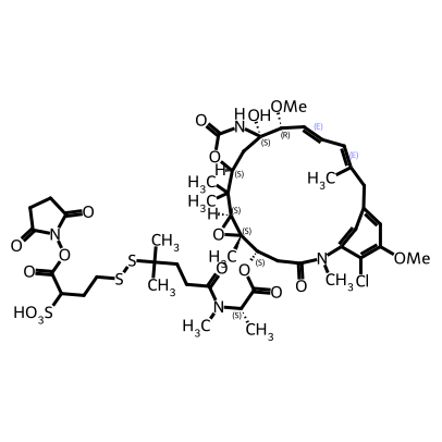 COc1cc2cc(c1Cl)N(C)C(=O)C[C@H](OC(=O)[C@H](C)N(C)C(=O)CCC(C)(C)SSCCC(C(=O)ON1C(=O)CCC1=O)S(=O)(=O)O)[C@]1(C)O[C@H]1C(C)(C)[C@@H]1C[C@@](O)(NC(=O)O1)[C@H](OC)/C=C/C=C(\C)C2